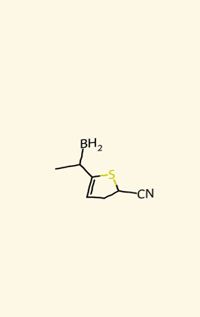 BC(C)C1=CCC(C#N)S1